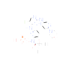 CC1(C)Oc2ccc(NC3NC(Nc4ccc(N5CCOCC5)nc4)=NC=C3F)nc2N(COP(=O)(O)O)C1=O